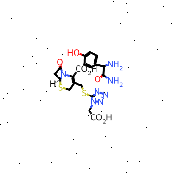 NC(=O)C(N)c1ccc(O)cc1.O=C(O)Cn1nnnc1SCC1=C(C(=O)O)N2C(=O)C[C@@H]2SC1